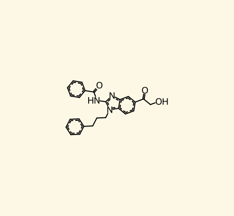 O=C(CO)c1ccc2c(c1)nc(NC(=O)c1ccccc1)n2CCCc1ccccc1